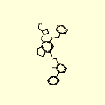 Cc1c(COc2cc(OCc3cncnc3)c(CN3CCC3CO)c3c2CCC3)cccc1-c1ccccc1